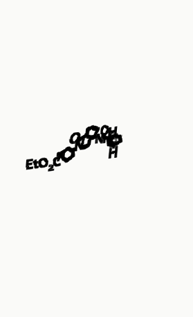 CCOC(=O)N1CCC(n2ccc3c(NC(=O)C4C[C@@H]5CC[C@H]4C5)cccc3c2=O)CC1